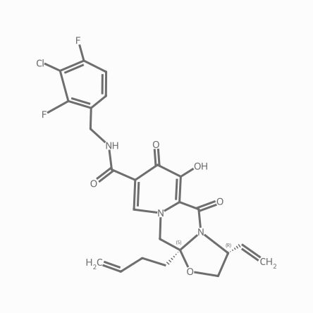 C=CCC[C@]12Cn3cc(C(=O)NCc4ccc(F)c(Cl)c4F)c(=O)c(O)c3C(=O)N1[C@H](C=C)CO2